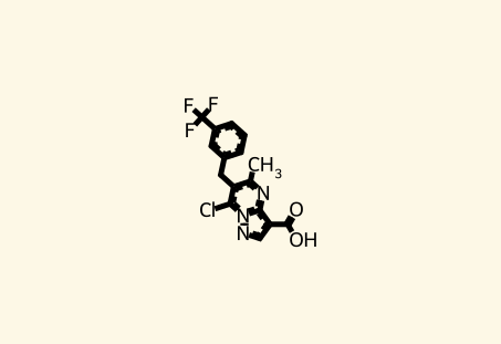 Cc1nc2c(C(=O)O)cnn2c(Cl)c1Cc1cccc(C(F)(F)F)c1